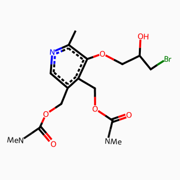 CNC(=O)OCc1cnc(C)c(OCC(O)CBr)c1COC(=O)NC